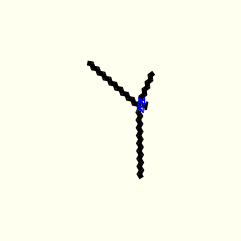 CCCCCCCCCCCCCCCCCCN1C=CN(CCCCCCCC)C1CCCCCCCCCCCCCCCCC